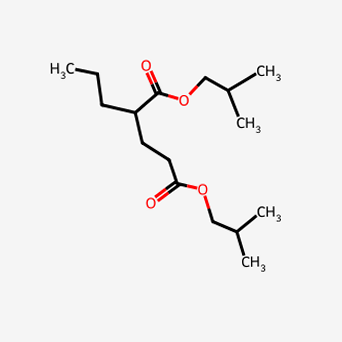 CCCC(CCC(=O)OCC(C)C)C(=O)OCC(C)C